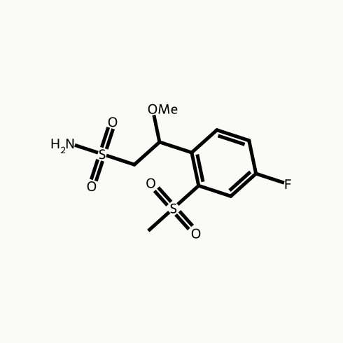 COC(CS(N)(=O)=O)c1ccc(F)cc1S(C)(=O)=O